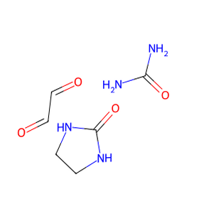 NC(N)=O.O=C1NCCN1.O=CC=O